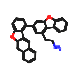 NCCc1cc(-c2cccc3oc4cc5ccccc5cc4c23)cc2oc3ccccc3c12